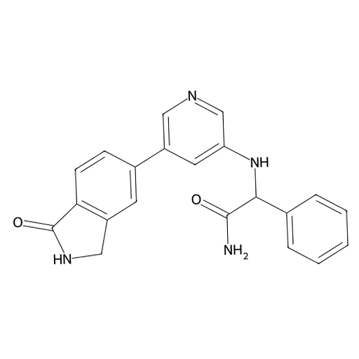 NC(=O)C(Nc1cncc(-c2ccc3c(c2)CNC3=O)c1)c1ccccc1